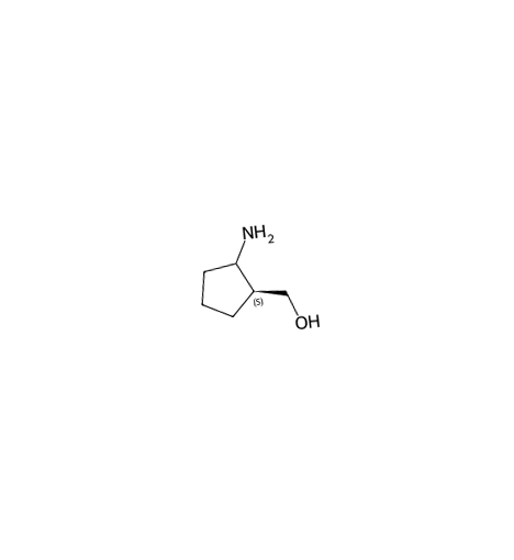 NC1CCC[C@@H]1CO